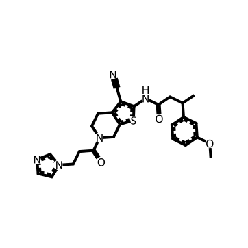 COc1cccc(C(C)CC(=O)Nc2sc3c(c2C#N)CCN(C(=O)CCn2ccnc2)C3)c1